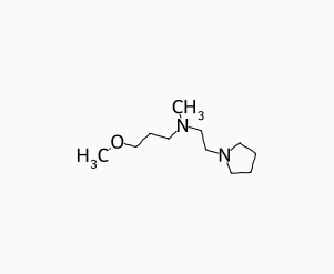 COCCCN(C)CCN1CCCC1